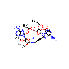 COC1C(OC)[C@@H](CNCC#Cc2nc3c(N)ncnc3n2[C@@H]2O[C@H](COC(C)=O)C(OC(C)=O)C2OC(C)=O)O[C@H]1n1cnc2c(N)ncnc21